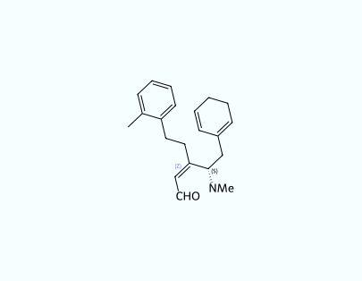 CN[C@@H](CC1=CCCC=C1)/C(=C\C=O)CCc1ccccc1C